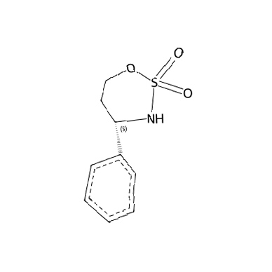 O=S1(=O)N[C@H](c2ccccc2)CCO1